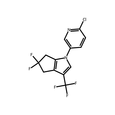 FC1(F)Cc2c(C(F)(F)F)cn(-c3ccc(Cl)nc3)c2C1